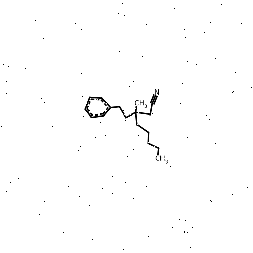 CCCCCC(C)(CC#N)CCc1ccccc1